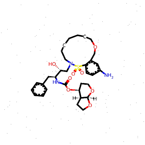 Nc1ccc2c(c1)COCCCCCCCN(C[C@@H](O)[C@H](Cc1ccccc1)NC(=O)O[C@H]1CCO[C@H]3OCC[C@H]31)S2(=O)=O